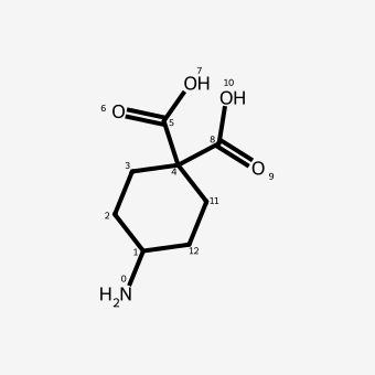 NC1CCC(C(=O)O)(C(=O)O)CC1